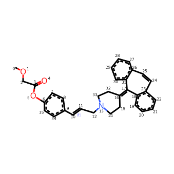 COCC(=O)Oc1ccc(/C=C/CN2CCC(=C3c4ccccc4C=Cc4ccccc43)CC2)cc1